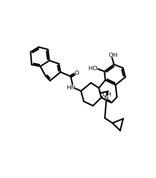 O=C(NC1CCC2(O)C3Cc4ccc(O)c(O)c4[C@@]2(CCN3CC2CC2)C1)c1ccc2ccccc2c1